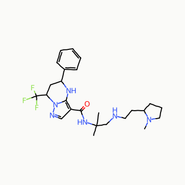 CN1CCCC1CCNCC(C)(C)NC(=O)c1cnn2c1NC(c1ccccc1)CC2C(F)(F)F